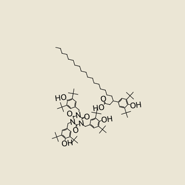 CC(C)(C)c1cc(Cn2c(=O)n(Cc3cc(C(C)(C)C)c(O)c(C(C)(C)C)c3)c(=O)n(Cc3cc(C(C)(C)C)c(O)c(C(C)(C)C)c3)c2=O)cc(C(C)(C)C)c1O.CCCCCCCCCCCCCCCCCCC(CC(=O)O)c1cc(C(C)(C)C)c(O)c(C(C)(C)C)c1